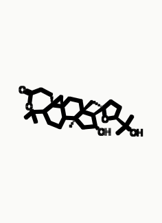 CC1(C)OC(=O)CC[C@]23C[C@]24CC[C@]2(C)[C@@H]([C@@]5(C)CC[C@@H](C(C)(C)O)O5)[C@@H](O)C[C@@]2(C)C4CCC13